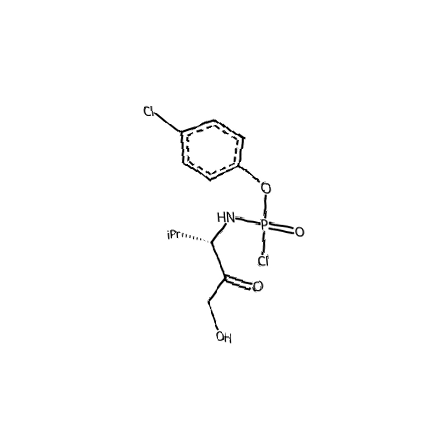 CC(C)[C@H](NP(=O)(Cl)Oc1ccc(Cl)cc1)C(=O)CO